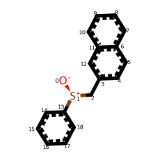 [O-][S@@+](Cc1ccc2ccccc2c1)c1ccccc1